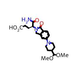 COC(OC)C1CCN(c2ccc3c(c2)CN([C@@H](CCC(=O)O)C(N)=O)C3=O)CC1